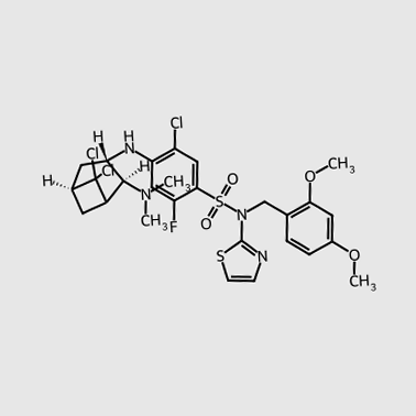 COc1ccc(CN(c2nccs2)S(=O)(=O)c2cc(Cl)c(N[C@H]3C[C@@H]4CC([C@@H]3N(C)C)C4(Cl)Cl)cc2F)c(OC)c1